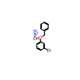 CCc1cccc(OCc2ccccc2)c1.CN